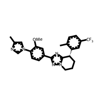 COc1cc(-c2nc3n(n2)CCC[C@H]3c2cc(C(F)(F)F)ccc2C)ccc1-n1cnc(C)c1